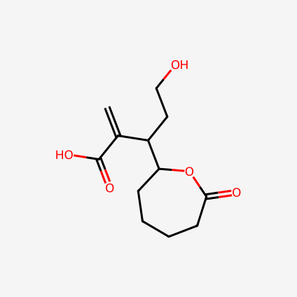 C=C(C(=O)O)C(CCO)C1CCCCC(=O)O1